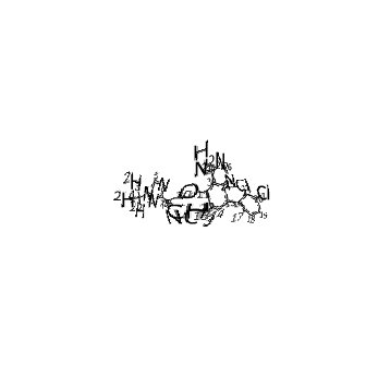 [2H]C([2H])([2H])n1cnc([C@H](C)Oc2c(C#N)cc(-c3cccc(Cl)c3Cl)c3ncnc(N)c23)n1